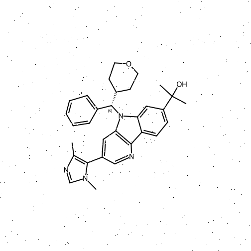 Cc1ncn(C)c1-c1cnc2c3ccc(C(C)(C)O)cc3n([C@H](c3ccccc3)C3CCOCC3)c2c1